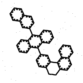 c1ccc2cc(-c3c4ccccc4c(-c4ccc5c(c4)-c4c(ccc6ccccc46)CC5)c4ccccc34)ccc2c1